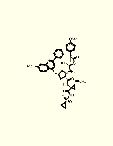 C=C[C@@H]1C[C@]1(NC(=O)[C@@H]1C[C@@H](Oc2cc(-c3ccccc3)nc3cc(OC)ccc23)CN1C(=O)[C@@H](OC(=O)Nc1ccc(OC)cc1)C(C)(C)C)C(=O)NS(=O)(=O)C1CC1